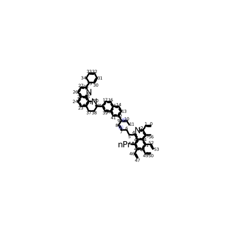 C=Cc1nc(CC/C=C\C(=C/C)c2ccc3ccc(C4=Nc5c(ccc6ccc(C7C=CC=CC7)nc56)CC4)cc3c2)c2c(CCC)c(C=C)c(C=C)c(C=C)c2c1C